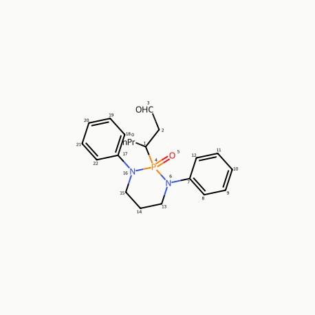 CCCC(CC=O)P1(=O)N(c2ccccc2)CCCN1c1ccccc1